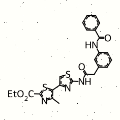 CCOC(=O)c1nc(C)c(-c2csc(NC(=O)Cc3cccc(NC(=O)c4ccccc4)c3)n2)s1